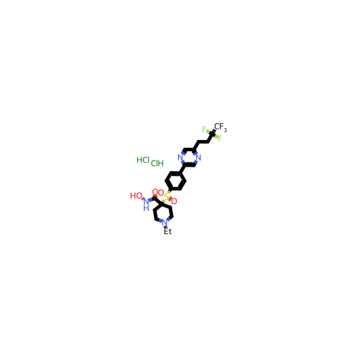 CCN1CCC(C(=O)NO)(S(=O)(=O)c2ccc(-c3cnc(CCC(F)(F)C(F)(F)F)cn3)cc2)CC1.Cl.Cl